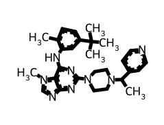 Cc1ccc(C(C)(C)C)cc1Nc1nc(N2CCN(C(C)c3ccncc3)CC2)nc2ncn(C)c12